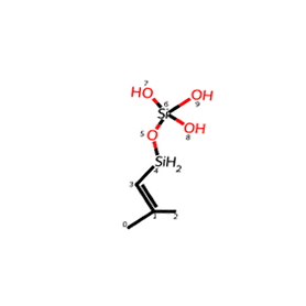 CC(C)=C[SiH2]O[Si](O)(O)O